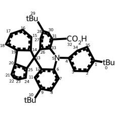 CC(C)(C)c1ccc(N2c3ccc(C(C)(C)C)cc3C3(c4ccccc4-c4ccccc43)c3cc(C(C)(C)C)cc(C(=O)O)c32)cc1